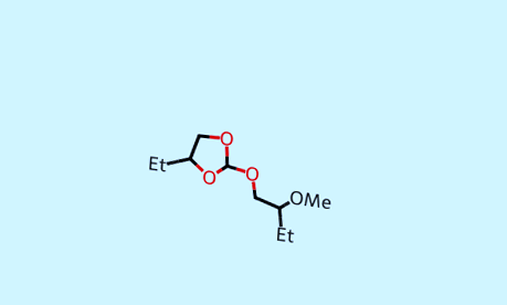 CCC(COC1OCC(CC)O1)OC